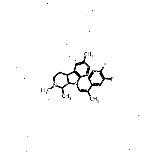 C/C(=C/N1c2ccc(C)cc2C2CCN(C)C(C)C21)c1ccc(F)c(F)c1